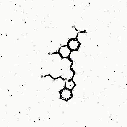 CCN(CC)c1ccc2c(c1)OC(C(C)(C)C)=C/C2=C\C=C\C1=[N+](CCCO)c2ccccc2C1